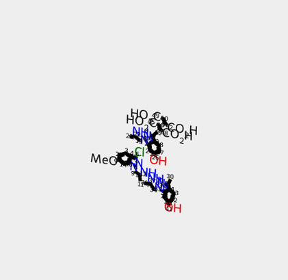 COc1ccc2c(Cl)nn(CC(C)N)c2c1.Cc1nn(CC(C)N)c2cc(O)ccc12.Cc1nn(CC(C)N)c2cc(O)ccc12.O=C(O)/C=C/C(=O)O.O=C(O)/C=C/C(=O)O